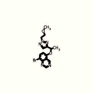 COCCn1ncc(C(C)Oc2ccc(Br)c3ncncc23)n1